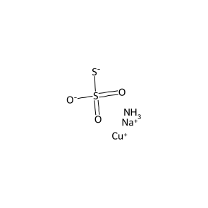 N.O=S(=O)([O-])[S-].[Cu+].[Na+]